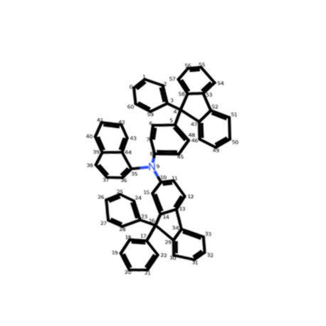 c1ccc(C2(c3ccc(N(c4ccc5c(c4)C(c4ccccc4)(c4ccccc4)c4ccccc4-5)c4cccc5ccccc45)cc3)c3ccccc3-c3ccccc32)cc1